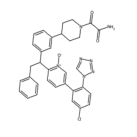 NC(=O)C(=O)N1CCC(c2cccc(C(Cc3ccccc3)c3ccc(-c4cc(Cl)ccc4-n4cnnn4)c[n+]3[O-])c2)CC1